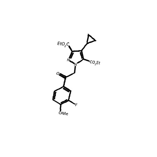 CCOC(=O)c1nn(CC(=O)c2ccc(OC)c(F)c2)c(C(=O)OCC)c1C1CC1